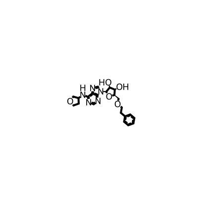 O[C@@H]1[C@H](O)[C@H](n2cnc3c(NC4CCOC4)ncnc32)O[C@@H]1COCCc1ccccc1